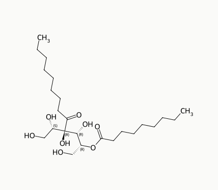 CCCCCCCCC(=O)O[C@H](CO)[C@@H](O)[C@@](O)(C(=O)CCCCCCCC)[C@@H](O)CO